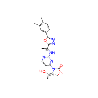 Cc1ccc(-c2nnc([C@H](C)Nc3nccc(N4C(=O)OC[C@@H]4[C@@H](C)O)n3)o2)cc1C